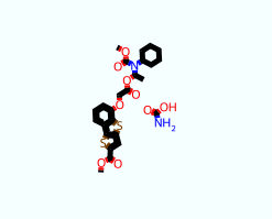 COC(=O)c1cc2sc3c(OCC(=O)OC(C)N(C(=O)OC)C4CCCCC4)cccc3c2s1.NC(=O)O